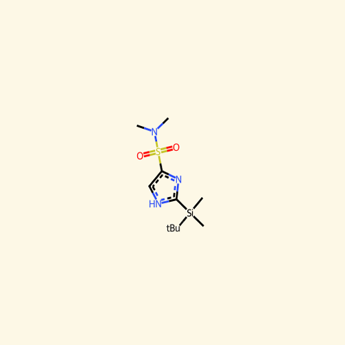 CN(C)S(=O)(=O)c1c[nH]c([Si](C)(C)C(C)(C)C)n1